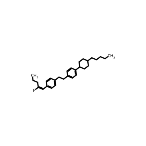 CCCCCC1CCC(c2ccc(CCc3ccc(/C=C(/F)CCC)cc3)cc2)CC1